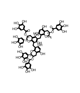 O=C(O[C@@H]1Cc2c(O)cc(O)c(Cc3c(O)c(Cc4c(O)cc(O)c5c4O[C@H](I)[C@H](OC(=O)c4cc(O)c(O)c(O)c4)C5)c(O)c4c3O[C@H](c3cc(O)c(O)c(O)c3)[C@H](OC(=O)c3cc(O)c(O)c(O)c3)C4)c2O[C@@H]1c1cc(O)c(O)c(O)c1)c1cc(O)c(O)c(O)c1